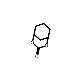 O=C1OC2CCCC(C2)O1